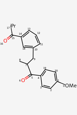 COc1ccc(C(=O)C(C)Cc2cccc(C(=O)C(C)C)c2)cc1